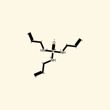 C=CCNP(=O)(NCC=C)NCC=C